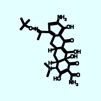 C/C(=N\OC(C)(C)C)c1cc(N)c(O)c2c1C[C@H]1C[C@H]3[C@H](N(C)C)C(O)=C(C(N)=O)C(=O)[C@@]3(O)C(O)=C1C2=O